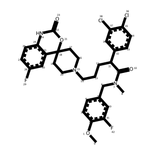 COc1ccc(CN(C)C(=O)C(CCCN2CCC3(CC2)OC(=O)Nc2ccc(F)cc23)c2ccc(Cl)c(Cl)c2)cc1F